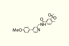 COc1ccc(-c2ccnc(CNC(=O)c3ccc(C)c(S(C)(=O)=O)c3)c2)cc1